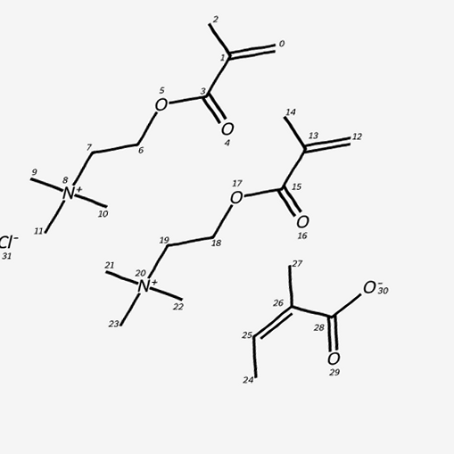 C=C(C)C(=O)OCC[N+](C)(C)C.C=C(C)C(=O)OCC[N+](C)(C)C.CC=C(C)C(=O)[O-].[Cl-]